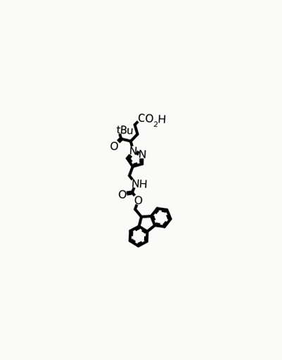 CC(C)(C)C(=O)C(CCC(=O)O)n1cc(CNC(=O)OCC2c3ccccc3-c3ccccc32)cn1